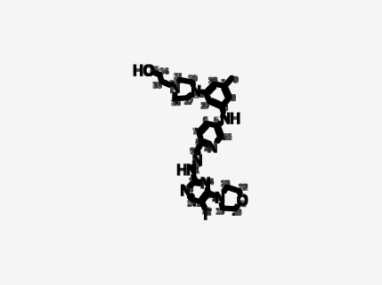 Cc1cc(Nc2ccc(/C=N/Nc3ncc(F)c(N4CCOCC4)n3)nc2)cc(N2CCN(CCO)CC2)c1